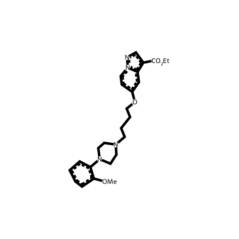 CCOC(=O)c1cnn2ccc(OCCCCN3CCN(c4ccccc4OC)CC3)cc12